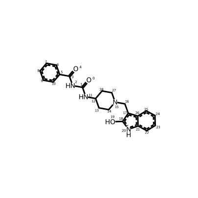 O=C(NC(=O)c1ccccc1)NC1CCN(Cc2c(O)[nH]c3ccccc23)CC1